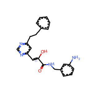 Nc1cccc(CNC(=O)/C(O)=C/c2cc(CCc3ccccc3)ncn2)c1